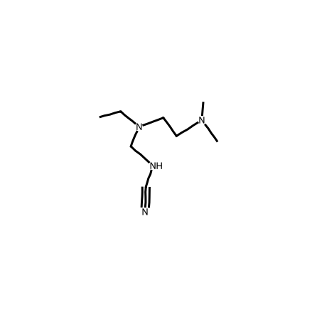 CCN(CCN(C)C)CNC#N